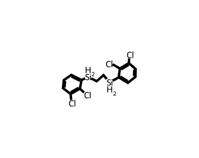 Clc1cccc([SiH2]CC[SiH2]c2cccc(Cl)c2Cl)c1Cl